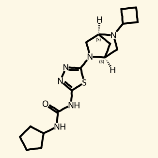 O=C(Nc1nnc(N2C[C@@H]3C[C@H]2CN3C2CCC2)s1)NC1CCCC1